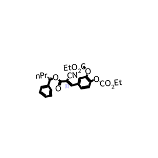 CCC[C@H](OC(=O)/C(C#N)=C/c1ccc(OC(=O)OCC)c(OC(=O)OCC)c1)c1ccccc1